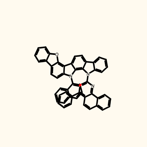 c1ccc(-c2nc(-n3c4ccccc4c4ccc5c6c7oc8ccccc8c7ccc6n(-c6cccc7ccccc67)c5c43)nc3c2ccc2ccccc23)cc1